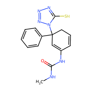 CNC(=O)NC1=CC(c2ccccc2)(n2nnnc2S)CC=C1